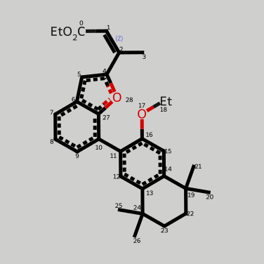 CCOC(=O)/C=C(/C)c1cc2cccc(-c3cc4c(cc3OCC)C(C)(C)CCC4(C)C)c2o1